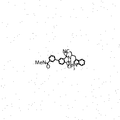 CNC(=O)c1cccc(-c2ccc(OC(F)(F)F)c(C(=O)NC(CC#N)Cc3c[nH]c4ccccc34)c2)c1